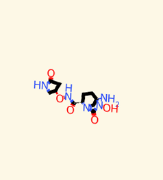 N[C@@]12CC[C@@H](C(=O)NO[C@H]3CNC(=O)C3)N(C1)C(=O)N2O